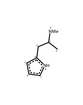 CNC(C)Cc1ccc[nH]1